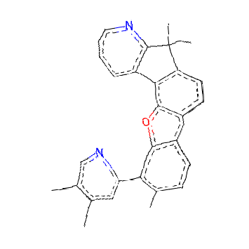 Cc1cnc(-c2c(C)ccc3c2oc2c4c(ccc23)C(C)(C)c2ncccc2-4)cc1C